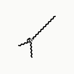 CCCCCCCCCCCCCCCCCCC[n+]1ccn(CCCCCC)c1CCCCCCCCC